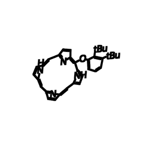 CC(C)(C)c1cccc(Oc2c3nc(cc4ccc(cc5nc(cc6ccc2[nH]6)C=C5)[nH]4)C=C3)c1C(C)(C)C